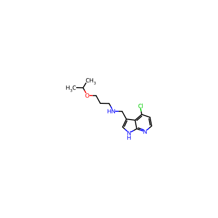 CC(C)OCCCNCc1c[nH]c2nccc(Cl)c12